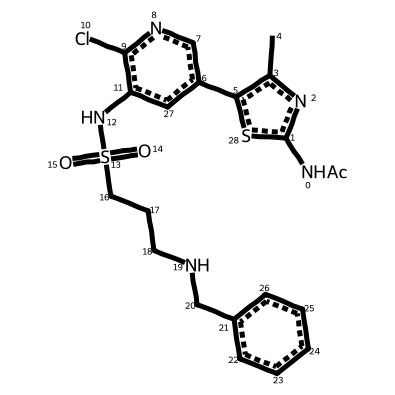 CC(=O)Nc1nc(C)c(-c2cnc(Cl)c(NS(=O)(=O)CCCNCc3ccccc3)c2)s1